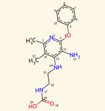 Cc1nc(Oc2ccccc2)c(N)c(NCCNC(=O)O)c1C